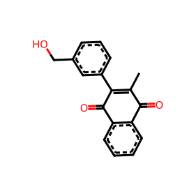 CC1=C(c2cccc(CO)c2)C(=O)c2ccccc2C1=O